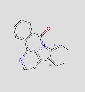 C/C=c1\c(=C/C)n2c(=O)c3ccccc3c3nccc1c32